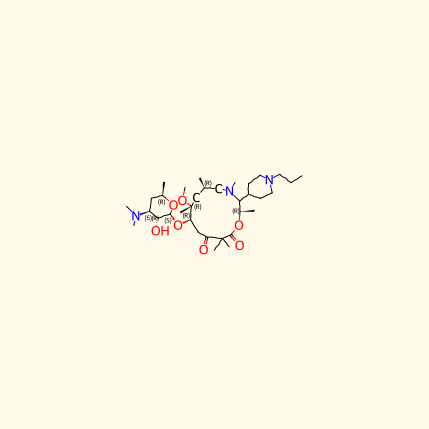 CCCN1CCC(C2[C@@H](C)OC(=O)C(C)(C)C(=O)C[C@@H](O[C@@H]3O[C@H](C)C[C@H](N(C)C)[C@H]3O)[C@](C)(OC)C[C@@H](C)CN2C)CC1